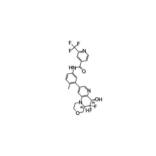 Cc1ccc(NC(=O)c2ccnc(C(F)(F)F)c2)cc1-c1cnc2c(c1)N1CCOC[C@@H]1C(F)(F)[C@@H]2O